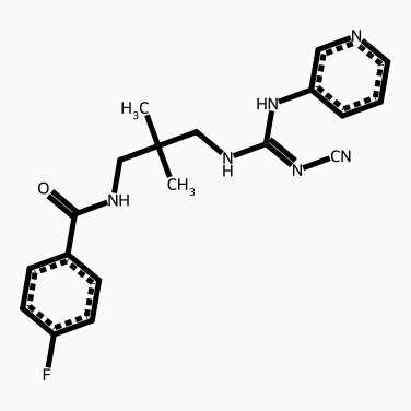 CC(C)(CNC(=O)c1ccc(F)cc1)CNC(=NC#N)Nc1cccnc1